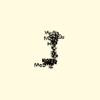 COC(=O)NC(C(=O)N1C[C@@H](C#N)C[C@H]1c1ncc(-c2ccc(-c3ccc4cc(-c5cnc([C@@H]6CC7(CC7)CN6C(=O)[C@@H](NC(=O)OC)C(C)C)[nH]5)ccc4c3)cc2)[nH]1)C(C)(C)C